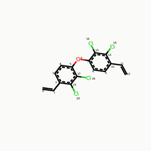 C=Cc1ccc(Oc2ccc(C=C)c(Cl)c2Cl)c(Cl)c1Cl